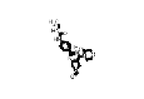 CCNC(=O)Nc1ccc(-c2nc3c(c(N4CCOCC4C)n2)CN(C=O)C3)cc1